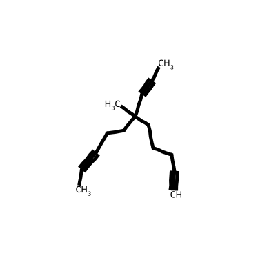 C#CCCCC(C)(C#CC)CCC#CC